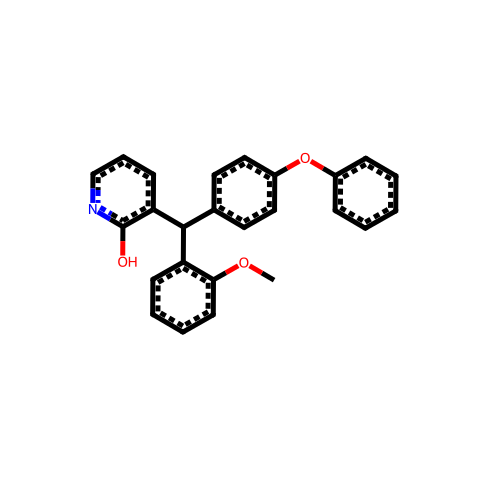 COc1ccccc1C(c1ccc(Oc2ccccc2)cc1)c1cccnc1O